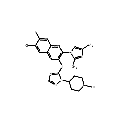 Cc1nc(C(F)(F)F)cn1-c1nc2cc(Cl)c(Cl)cc2nc1Sc1nnnn1C1CCN(C)CC1